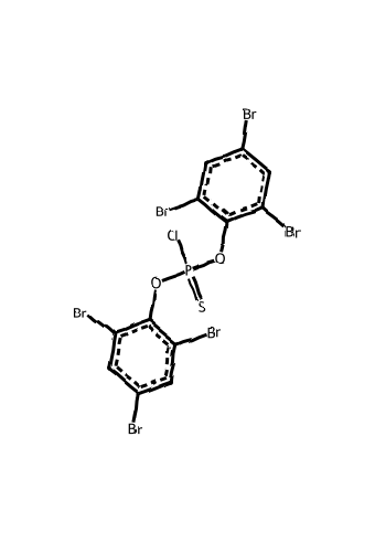 S=P(Cl)(Oc1c(Br)cc(Br)cc1Br)Oc1c(Br)cc(Br)cc1Br